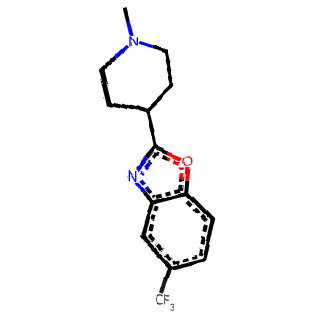 CN1CCC(c2nc3cc(C(F)(F)F)ccc3o2)CC1